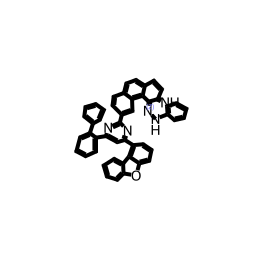 N=C1C=Cc2ccc3ccc(-c4nc(-c5ccccc5-c5ccccc5)cc(-c5cccc6oc7ccccc7c56)n4)cc3c2/C1=N/Nc1ccccc1